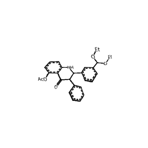 CCOC(OCC)c1cccc(C2Nc3cccc(OC(C)=O)c3C(=O)C2c2ccccc2)c1